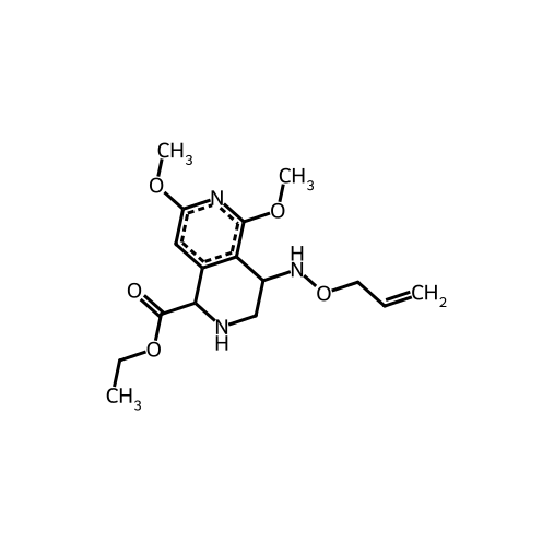 C=CCONC1CNC(C(=O)OCC)c2cc(OC)nc(OC)c21